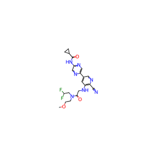 COCCN(CC(F)F)C(=O)CNc1cc(-c2cnc(NC(=O)C3CC3)cn2)cnc1C#N